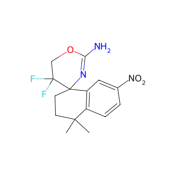 CC1(C)CCC2(N=C(N)OCC2(F)F)c2cc([N+](=O)[O-])ccc21